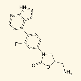 NCC1CN(c2ccc(-c3ccnc4[nH]ccc34)c(F)c2)C(=O)O1